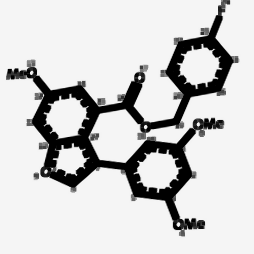 COc1cc(OC)cc(-c2coc3cc(OC)cc(C(=O)OCc4ccc(F)cc4)c23)c1